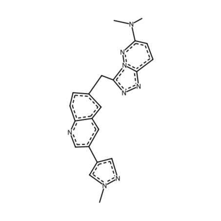 CN(C)c1ccc2nnc(Cc3ccc4ncc(-c5cnn(C)c5)cc4c3)n2n1